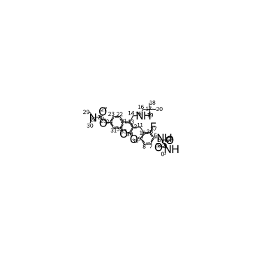 CNS(=O)(=O)Nc1cccc(Cc2c(CNCC(C)(C)C)c3ccc(OC(=O)N(C)C)cc3oc2=O)c1F